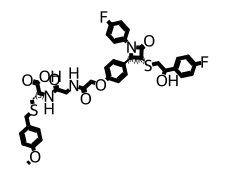 COc1ccc(CSC[C@@H](NC(=O)CNC(=O)COc2ccc([C@@H]3[C@@H](SCC(O)c4ccc(F)cc4)C(=O)N3c3ccc(F)cc3)cc2)C(=O)O)cc1